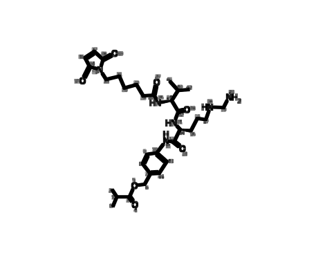 CC(C)C(=O)OCc1ccc(NC(=O)[C@H](CCCNCN)NC(=O)[C@@H](NC(=O)CCCCCN2C(=O)C=CC2=O)C(C)C)cc1